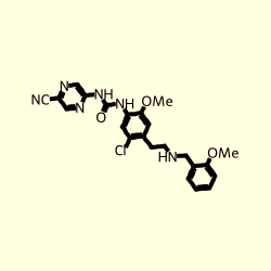 COc1ccccc1CNCCc1cc(OC)c(NC(=O)Nc2cnc(C#N)cn2)cc1Cl